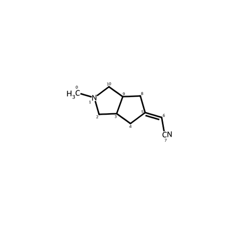 CN1CC2CC(=CC#N)CC2C1